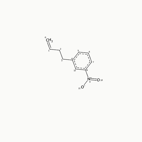 C=CC[CH]c1cccc([N+](=O)[O-])c1